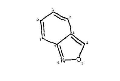 [c]1ccc2conc2c1